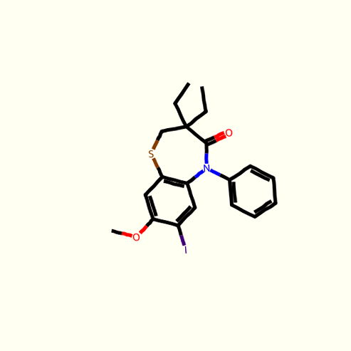 CCC1(CC)CSc2cc(OC)c(I)cc2N(c2ccccc2)C1=O